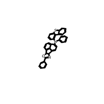 c1ccc(C2=NC3c4ccc(N(c5ccccc5)c5cccc6sc7ccccc7c56)c5cccc(c45)C3O2)cc1